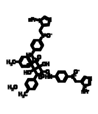 CCCn1cncc1C[S+]([O-])c1ccc(NOC(=O)C(O)(C(=O)c2ccc(C)cc2)C(O)(C(=O)ONc2ccc([S+]([O-])Cc3cncn3CCC)cc2)C(=O)c2ccc(C)cc2)cc1.O